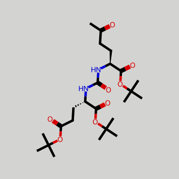 CC(=O)CC[C@H](NC(=O)N[C@@H](CCC(=O)OC(C)(C)C)C(=O)OC(C)(C)C)C(=O)OC(C)(C)C